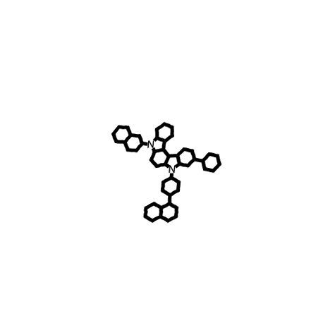 C1CCC(C2CCC3C4C5C6CCCCC6N(C6CCC7CCCCC7C6)C5CCC4N(C4CCC(C5CCCC6CCCCC65)CC4)C3C2)CC1